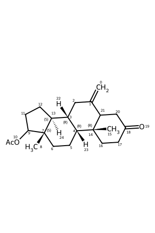 C=C1C[C@@H]2[C@@H](CC[C@]3(C)C(OC(C)=O)CC[C@@H]23)[C@@]2(C)CCC(=O)CC12